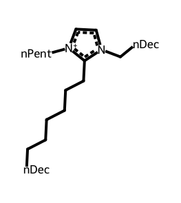 CCCCCCCCCCCCCCCCc1n(CCCCCCCCCCC)cc[n+]1CCCCC